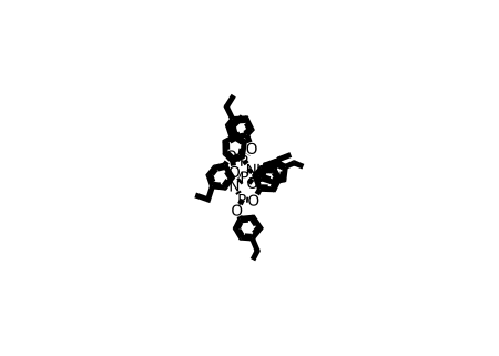 CCc1ccc(OP(N=P(NP(Oc2ccc(CC)cc2)Oc2ccc(CC)cc2)(Oc2ccc(CC)cc2)Oc2ccc(CC)cc2)Oc2ccc(CC)cc2)cc1